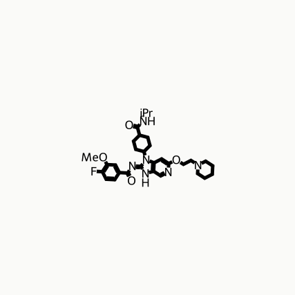 COc1cc(C(=O)/N=c2\[nH]c3cnc(OCCN4CCCCC4)cc3n2C2CCC(C(=O)NC(C)C)CC2)ccc1F